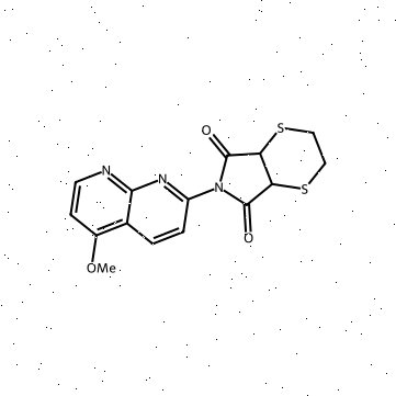 COc1ccnc2nc(N3C(=O)C4SCCSC4C3=O)ccc12